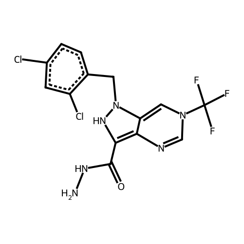 NNC(=O)C1=C2N=CN(C(F)(F)F)C=C2N(Cc2ccc(Cl)cc2Cl)N1